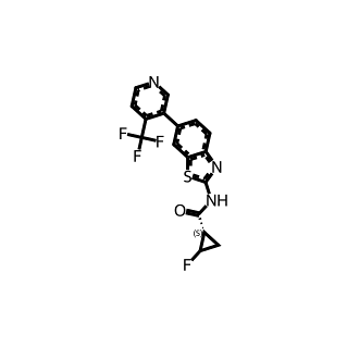 O=C(Nc1nc2ccc(-c3cnccc3C(F)(F)F)cc2s1)[C@@H]1CC1F